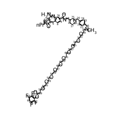 CCCN(CCC)C(=O)C1=Cc2ccc(C(=O)/N=C/C3CCCN(Cc4ccc(CN(C)CCOCCOCCOCCOCCOCCOCCOCCOCCOCCOCCC(=O)Oc5c(F)c(F)cc(F)c5F)cc4)C3)cc2N=C(N)C1